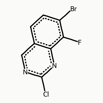 Fc1c(Br)ccc2cnc(Cl)nc12